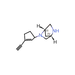 C#CC1=CC(N2C[C@@H]3C[C@H]2CN3)CC1